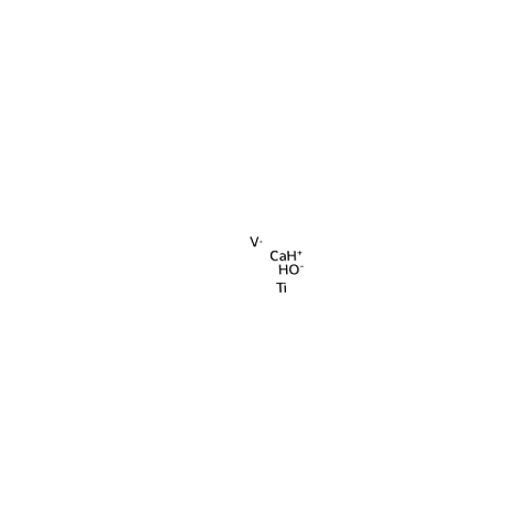 [CaH+].[OH-].[Ti].[V]